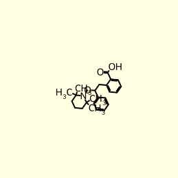 CC1(C)CCCC(C)(C)N1OC(Cc1ccccc1C(=O)O)c1ccccc1